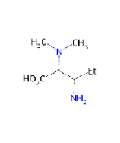 CCC(N)C(C(=O)O)N(C)C